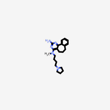 CN(CCCCN1CCCC1)c1nc(N)nc2c1CCCc1ccccc1-2